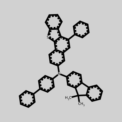 CC1(C)c2ccccc2-c2ccc(N(c3ccc(-c4ccccc4)cc3)c3ccc4c(c3)cc(-c3ccccc3)c3c5ccccc5sc43)cc21